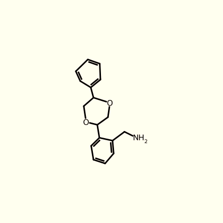 NCc1ccccc1C1COC(c2ccccc2)CO1